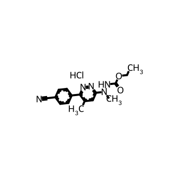 CCOC(=O)NN(C)c1cc(C)c(-c2ccc(C#N)cc2)nn1.Cl